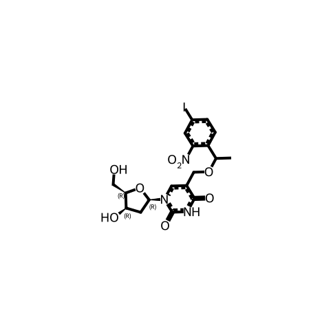 CC(OCc1cn([C@H]2C[C@@H](O)[C@@H](CO)O2)c(=O)[nH]c1=O)c1ccc(I)cc1[N+](=O)[O-]